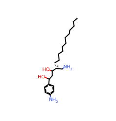 CCCCCCCCCCCC[C@H](CN)C(O)CC(O)c1ccc(N)cc1